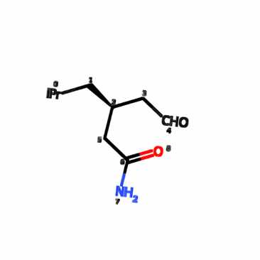 CC(C)C[C@@H](CC=O)CC(N)=O